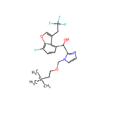 C[Si](C)(C)CCOCn1ccnc1C(O)c1ccc(F)c2occ(CC(F)(F)F)c12